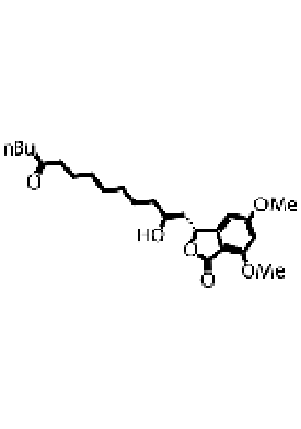 CCCCC(=O)CCCCCCCC(O)C[C@H]1OC(=O)c2c(OC)cc(OC)cc21